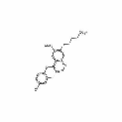 COc1cc2c(Nc3ccc(Cl)cc3F)ncnc2cc1OCCCC(=O)O